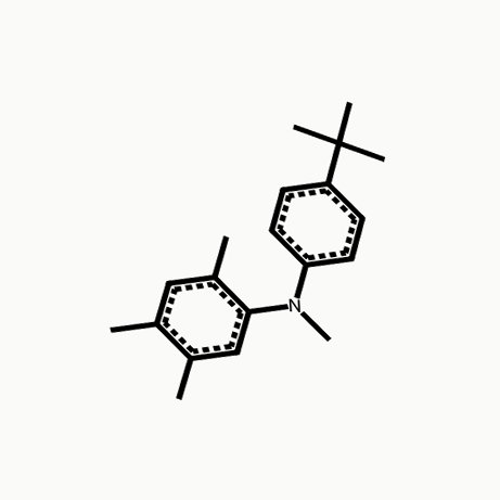 Cc1cc(C)c(N(C)c2ccc(C(C)(C)C)cc2)cc1C